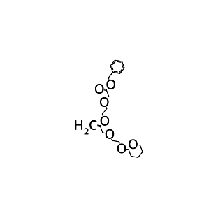 C=C(COCCOC1CCCCO1)OCCOCC(=O)OCc1ccccc1